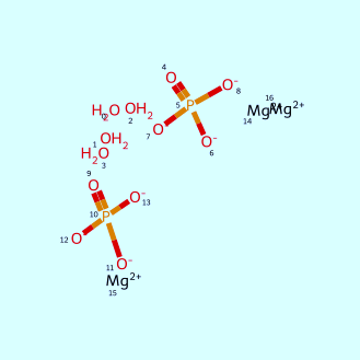 O.O.O.O.O=P([O-])([O-])[O-].O=P([O-])([O-])[O-].[Mg+2].[Mg+2].[Mg+2]